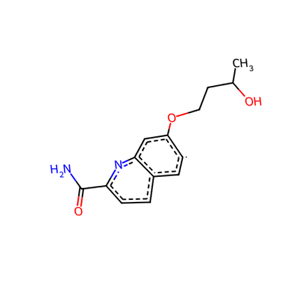 CC(O)CCOc1[c]cc2ccc(C(N)=O)nc2c1